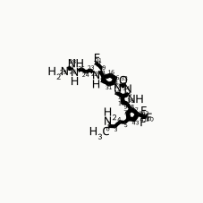 C[C@H](N)CCCc1cc(-c2cc3cn(-c4ccc([C@H](CCF)NCCCNC(=N)N)cc4)c(=O)nc3[nH]2)cc(C(F)(F)F)c1